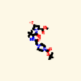 COC(=O)[C@@H]1C[C@@H](O)CN1C(=O)C(NC(=O)CN1CCN(C(=O)OC(C)(C)C)CC1)C(C)(C)C